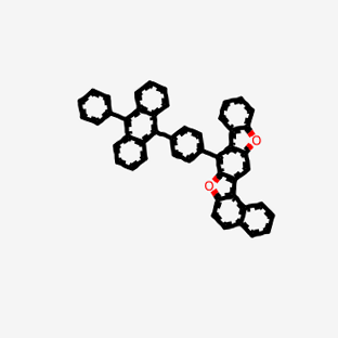 c1ccc(-c2c3ccccc3c(-c3ccc(-c4c5oc6ccc7ccccc7c6c5cc5oc6ccccc6c45)cc3)c3ccccc23)cc1